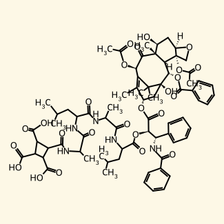 CC(=O)O[C@H]1C(=O)[C@@]2(C)[C@H]([C@H](OC(=O)c3ccccc3)[C@]3(O)C[C@H](OC(=O)[C@H](OC(=O)C(CC(C)C)NC(=O)C(C)NC(=O)C(CC(C)C)NC(=O)C(C)NC(=O)C4C(C(=O)O)C(C(=O)O)C4C(=O)O)[C@@H](NC(=O)c4ccccc4)c4ccccc4)C(C)=C1C3(C)C)[C@]1(OC(C)=O)CO[C@@H]1C[C@@H]2O